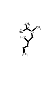 C=CCC(O)CN(C)C(C)O